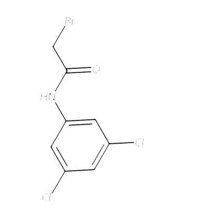 O=C(CBr)Nc1cc(Cl)cc(Cl)c1